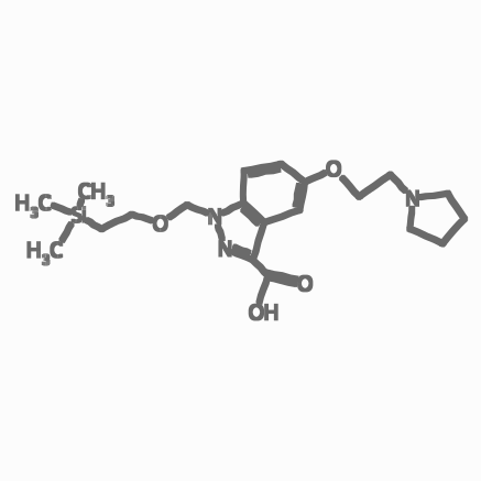 C[Si](C)(C)CCOCn1nc(C(=O)O)c2cc(OCCN3CCCC3)ccc21